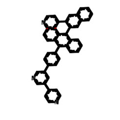 c1ccc2cc(-c3c4ccccc4c(-c4ccc(-c5cncc(-c6ccncc6)c5)cc4)c4ccccc34)c(-c3ccncc3)cc2c1